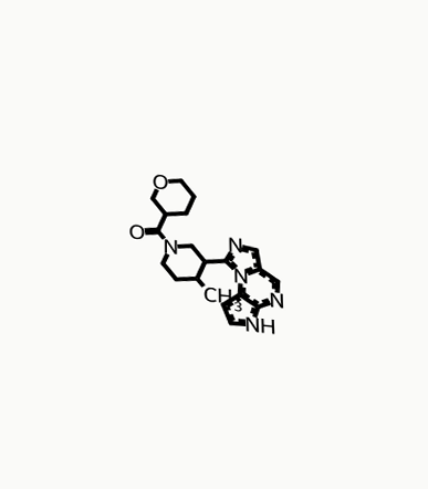 CC1CCN(C(=O)C2CCCOC2)CC1c1ncc2cnc3[nH]ccc3n12